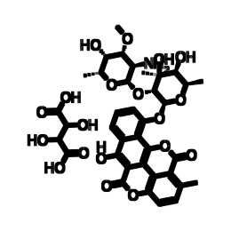 CO[C@@H]1[C@@H](N)[C@@H](O[C@H]2[C@H](Oc3cccc4c(O)c5c(=O)oc6ccc(C)c7c(=O)oc(c34)c5c67)O[C@H](C)[C@H](O)[C@]2(C)O)O[C@H](C)[C@@H]1O.O=C(O)C(O)C(O)C(=O)O